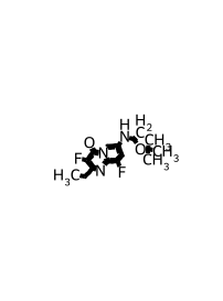 C=C(Nc1cc(F)c2nc(CC)c(F)c(=O)n2c1)OC(C)(C)C